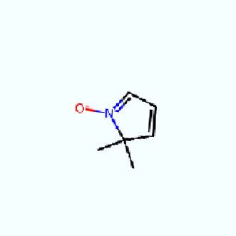 CC1(C)C=CC=[N+]1[O-]